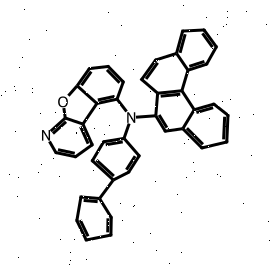 c1ccc(-c2ccc(N(c3cc4ccccc4c4c3ccc3ccccc34)c3cccc4oc5ncccc5c34)cc2)cc1